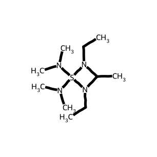 CCN1C(C)N(CC)S1(N(C)C)N(C)C